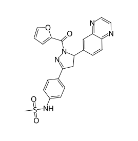 CS(=O)(=O)Nc1ccc(C2=NN(C(=O)c3ccco3)C(c3ccc4nccnc4c3)C2)cc1